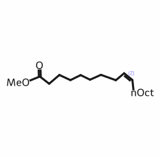 [CH2]OC(=O)CCCCCCC/C=C\CCCCCCCC